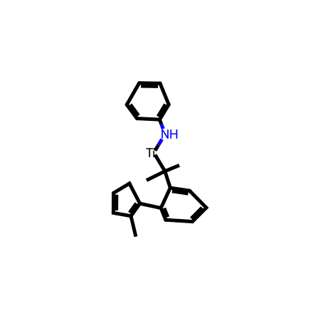 CC1=C(c2ccccc2[C](C)(C)[Ti][NH]c2ccccc2)CC=C1